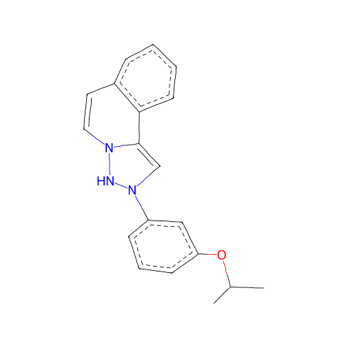 CC(C)Oc1cccc(N2C=C3c4ccccc4C=CN3N2)c1